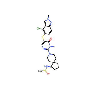 Cn1cc2c(Cl)c(Sc3cnc(N4CCC5(CCC[C@H]5N[S+]([O-])C(C)(C)C)CC4)n(C)c3=O)ccc2n1